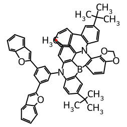 Cc1cc2c3c(c1)N(c1ccc(C(C)(C)C)cc1-c1ccccc1)c1c(ccc4c1OCO4)B3c1cc(C(C)(C)C)ccc1N2c1cc(-c2cc3ccccc3o2)cc(-c2cc3ccccc3o2)c1